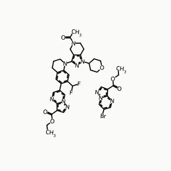 CCOC(=O)c1cnn2cc(-c3cc4c(cc3C(F)F)N(c3nn(C5CCOCC5)c5c3CN(C(C)=O)CC5)CCC4)cnc12.CCOC(=O)c1cnn2cc(Br)cnc12